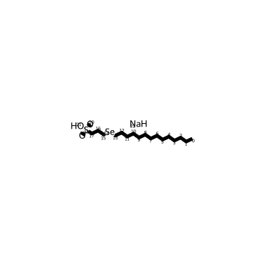 CCCCCCCCCCCCCC[Se]CCCS(=O)(=O)O.[NaH]